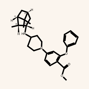 COC(=O)c1ccc(N2CCC(N[C@H]3C[C@@H]4C[C@@H]([C@H]3C)C4(C)C)CC2)cc1Oc1ccccc1